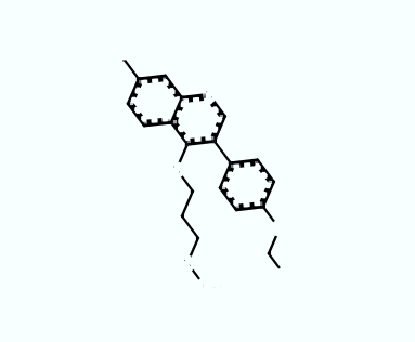 CC(C)(C)NCCCNc1c(-c2ccc(OCC(F)(F)F)cc2)cnc2cc(Cl)ccc12